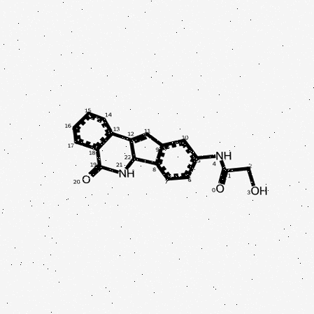 O=C(CO)Nc1ccc2c(c1)C=C1c3ccccc3C(=O)NC12